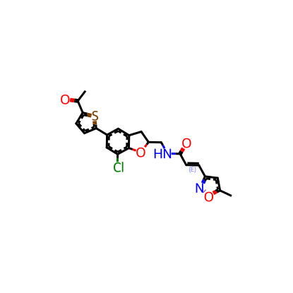 CC(=O)c1ccc(-c2cc(Cl)c3c(c2)CC(CNC(=O)/C=C/c2cc(C)on2)O3)s1